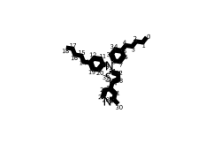 CCCCCc1ccc(N(c2ccc(CCCCC)cc2)c2ccc(-c3ccnc(C)c3)s2)cc1